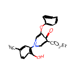 CCOC(=O)c1cn(-c2cc(C#N)ccc2O)cc(Oc2ccccc2)c1=O